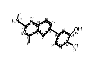 CNc1nc(C)c2cc(-c3ccc(Cl)c(O)c3)ccc2n1